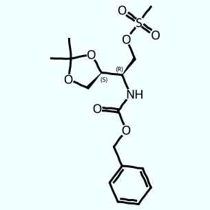 CC1(C)OC[C@H]([C@@H](COS(C)(=O)=O)NC(=O)OCc2ccccc2)O1